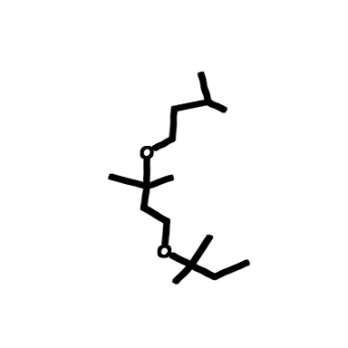 CCC(C)(C)OCCC(C)(C)OCCC(C)C